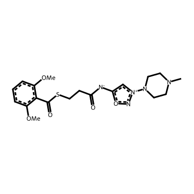 COc1cccc(OC)c1C(=O)SCCC(=O)[N-]c1c[n+](N2CCN(C)CC2)no1